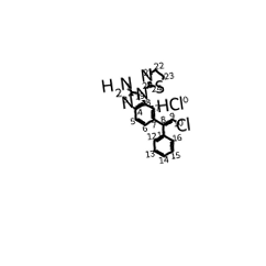 Cl.Nc1nc2ccc(C(=CCl)c3ccccc3)cc2n1C1=NCCS1